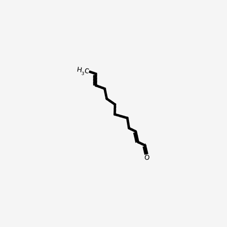 CC=CCCCCCCC=C[C]=O